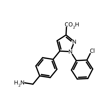 NCc1ccc(-c2cc(C(=O)O)nn2-c2ccccc2Cl)cc1